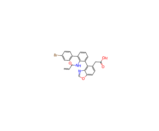 C=CC(=O)Nc1c(-c2ccc(Br)cc2)cccc1-c1c(CC(=O)O)ccc2ocnc12